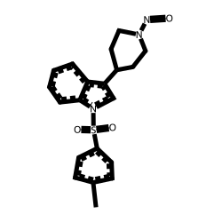 Cc1ccc(S(=O)(=O)n2cc(C3CCN(N=O)CC3)c3ccccc32)cc1